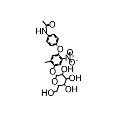 CC(=O)Nc1ccc(Oc2cc(C)c(OC3OC(CO)C(O)C(O)C3O)cc2[N+](=O)[O-])cc1